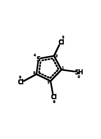 Sc1c(Cl)sc(Cl)c1Cl